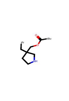 CC(C)CC1(COC(=O)C(C)(C)C)CCNC1